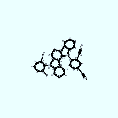 N#Cc1ccc(-n2c3ccccc3c3ccc4c(c5ccccc5n4-c4c(F)cccc4F)c32)c(C#N)c1